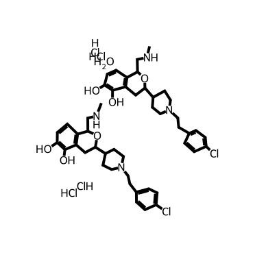 CNCC1OC(C2CCN(CCc3ccc(Cl)cc3)CC2)Cc2c1ccc(O)c2O.CNCC1OC(C2CCN(CCc3ccc(Cl)cc3)CC2)Cc2c1ccc(O)c2O.Cl.Cl.Cl.Cl.O